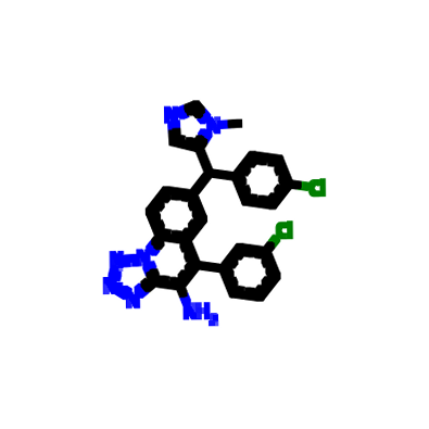 Cn1cncc1C(c1ccc(Cl)cc1)c1ccc2c(c1)c(-c1cccc(Cl)c1)c(N)c1nnnn12